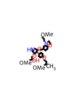 COCCCN1CCOc2ccc(CO[C@H]3CNC[C@@H](OC[C@H](O)COC)[C@@H]3c3ccc(OCC[C@H](C)COC)cc3)cc21